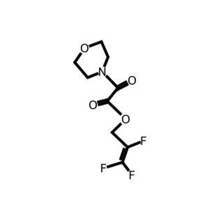 O=C(OCC(F)=C(F)F)C(=O)N1CCOCC1